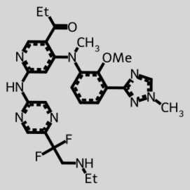 CCNCC(F)(F)c1cnc(Nc2cc(N(C)c3cccc(-c4ncn(C)n4)c3OC)c(C(=O)CC)cn2)cn1